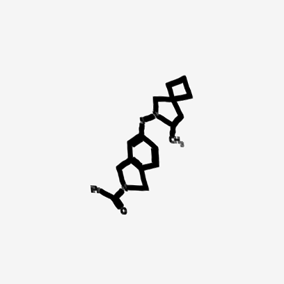 CC(C)C(=O)N1Cc2ccc(SN3CC4(CCC4)CC3C)cc2C1